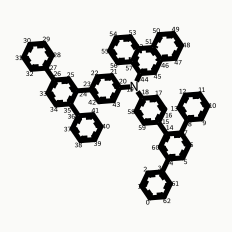 c1ccc(-c2ccc(-c3ccccc3)c(-c3ccc(N(c4ccc(-c5cc(-c6ccccc6)ccc5-c5ccccc5)cc4)c4cc5ccccc5c5ccccc45)cc3)c2)cc1